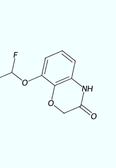 O=C1COc2c(cccc2OC(F)F)N1